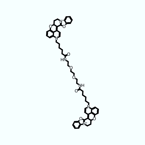 O=C(CCCCCN1C=CC2=C3c4oc5ccccc5[n+]4CCC3Oc3cccc1c32)NCCOCCOCCNC(=O)CCCCCN1C=CC2=C3c4oc5ccccc5[n+]4CCC3Oc3cccc1c32